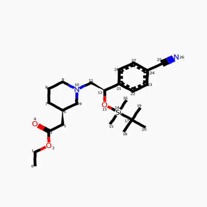 CCOC(=O)C[C@H]1CCCN(C[C@H](O[Si](C)(C)C(C)(C)C)c2ccc(C#N)cc2)C1